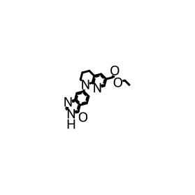 CCOC(=O)c1cnc2c(c1)CCCN2c1ccc2c(=O)[nH]cnc2c1